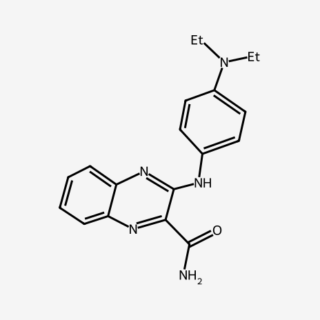 CCN(CC)c1ccc(Nc2nc3ccccc3nc2C(N)=O)cc1